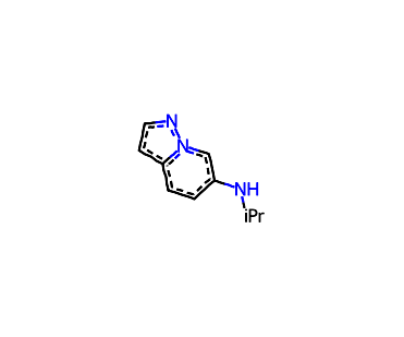 CC(C)Nc1ccc2ccnn2c1